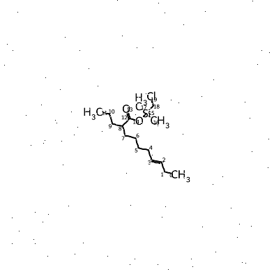 CCC=CCCCCC(CCC)C(=O)O[Si](C)(C)CCl